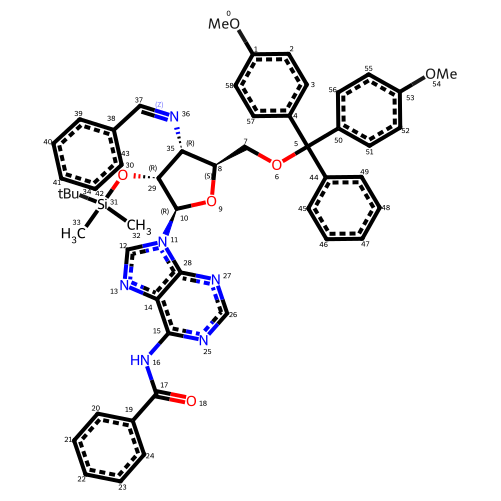 COc1ccc(C(OC[C@H]2O[C@@H](n3cnc4c(NC(=O)c5ccccc5)ncnc43)[C@H](O[Si](C)(C)C(C)(C)C)[C@@H]2/N=C\c2ccccc2)(c2ccccc2)c2ccc(OC)cc2)cc1